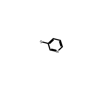 [S]c1cccnc1